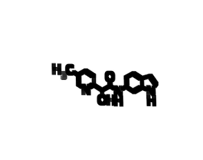 Cc1ccc(C(O)C(=O)Nc2ccc3cc[nH]c3c2)nc1